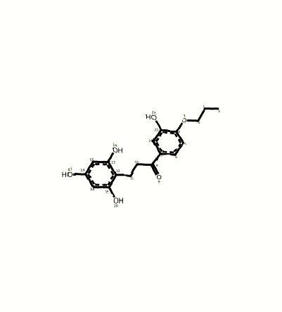 CCCOc1ccc(C(=O)CCc2c(O)cc(O)cc2O)cc1O